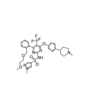 COCCOCc1ccccc1-c1nc(NS(=O)(=O)c2cnn(C)c2)nc(Oc2ccc(C3CCN(C)CC3)cc2)c1C(F)(F)F